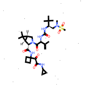 C=C(C)[C@H](NC(=O)N[C@H](CN(C)S(C)(=O)=O)C(C)(C)C)C(=O)N1C[C@H]2[C@@H]([C@H]1C(=O)NC1(C(=O)C(=O)NC3CC3)CCC1)C2(C)C